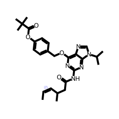 C/C=C\C(C)CC(=O)Nc1nc(OCc2ccc(OC(=O)C(C)(C)C)cc2)c2ncn(C(C)C)c2n1